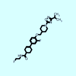 CC(C)c1noc(N2CCC(COc3ccc(C4=CCC(C(=O)NCCF)CC4)cc3F)CC2)n1